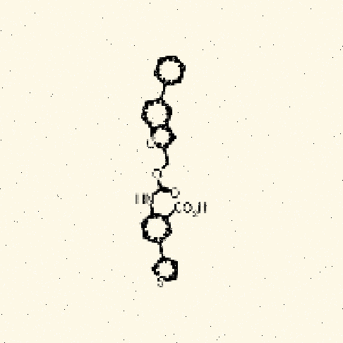 O=C(Nc1ccc(-c2ccsc2)cc1C(=O)O)OCc1cc2cc(-c3ccccc3)ccc2o1